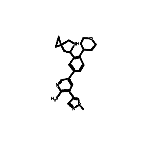 Cn1cc(-c2cc(-c3ccc(C4CCOCC4)c(C4CC5(CC5)CN4)c3)cnc2N)cn1